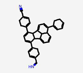 N#CC1=CC=C(C2=CC=C(C3=CC=C(C=N)CC3)C3C4=CC=CC5C(C6=CC=CCC6)=CC=C(C45)C23)CC1